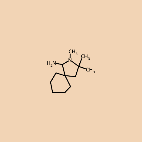 CN1C(N)C2(CCCCC2)CC1(C)C